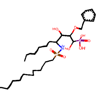 CCCCCCCCCCS(=O)(=O)NC(CCCCCC)C(O)C(OCc1ccccc1)C(O)P(=O)(O)O